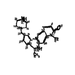 CCn1c(=O)ccc2cnc(NC(C)c3ccc(CN4CCNCC4)cc3)cc21